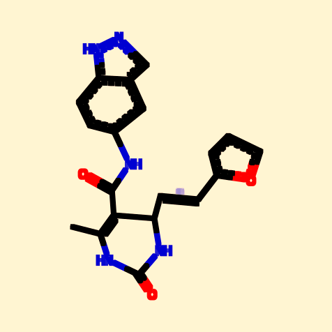 CC1=C(C(=O)Nc2ccc3[nH]ncc3c2)C(/C=C/c2ccco2)NC(=O)N1